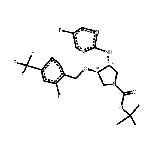 CC(C)(C)OC(=O)N1C[C@@H](Nc2ncc(F)cn2)[C@H](OCc2ccc(C(F)(F)F)cc2F)C1